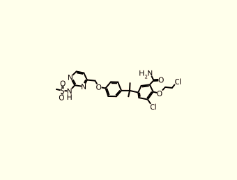 CC(C)(c1ccc(OCc2ccnc(NS(C)(=O)=O)n2)cc1)c1cc(Cl)c(OCCCl)c(C(N)=O)c1